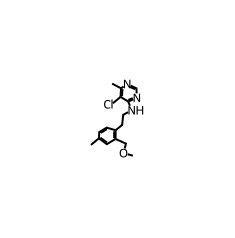 COCc1cc(C)ccc1CCNc1ncnc(C)c1Cl